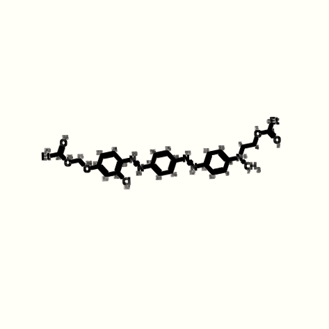 CCC(=O)OCCN(C)c1ccc(N=Nc2ccc(N=Nc3ccc(OCOC(=O)CC)cc3Cl)cc2)cc1